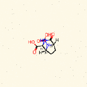 O=C(O)[C@H]1NC(=O)[C@@H]2CC[C@H]1N2C(=O)O